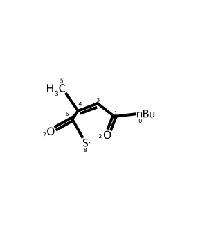 CCCCC(=O)C=C(C)C(=O)[S]